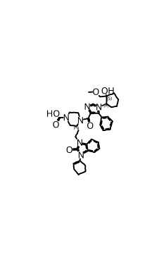 COC[C@]1(O)CCCC[C@H]1n1cnc(C(=O)N2CCN(C(=O)O)C[C@H]2CCn2c(=O)n(C3=CCCCC3)c3ccccc32)c1-c1ccccc1